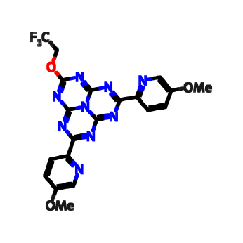 COc1ccc(C2=NC3=NC(OCC(F)(F)F)=NC4=NC(c5ccc(OC)cn5)=NC(=N2)N34)nc1